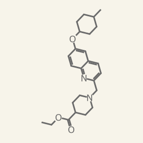 CCOC(=O)C1CCN(Cc2ccc3cc(OC4CCC(C)CC4)ccc3n2)CC1